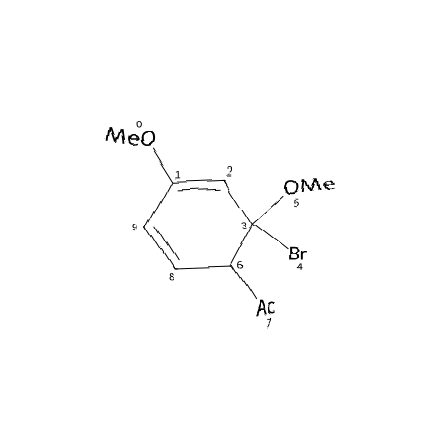 COC1=CC(Br)(OC)C(C(C)=O)C=C1